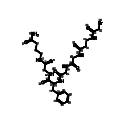 NC(=O)CCCNC(=O)CNC(=O)[C@H](Cc1ccccc1)NC(=O)CNC(=O)CNC(=O)CCNC(=O)CBr